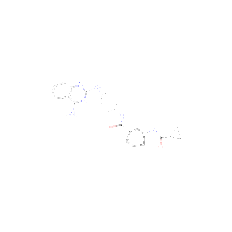 CN(C)c1nc(NC2CCC(NC(=O)c3cccc(NC(=O)C4CC4)c3)CC2)nc2ccccc12